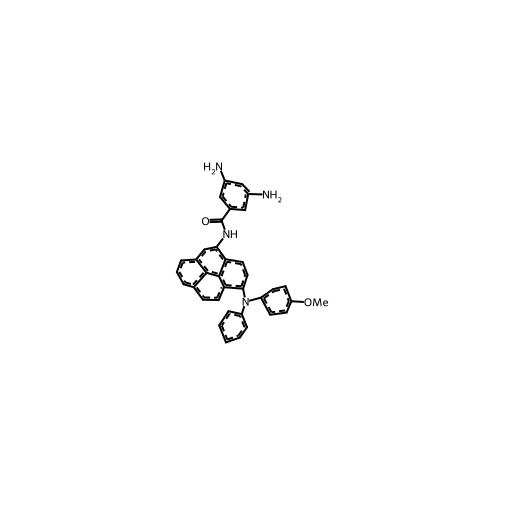 COc1ccc(N(c2ccccc2)c2ccc3c(NC(=O)c4cc(N)cc(N)c4)cc4cccc5ccc2c3c54)cc1